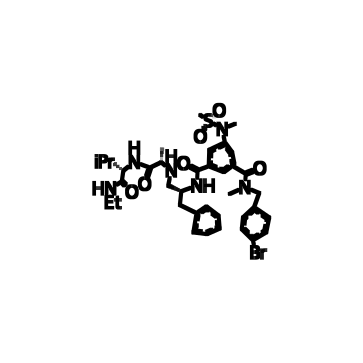 CCNC(=O)[C@@H](NC(=O)[C@H](C)NC[C@H](Cc1ccccc1)NC(=O)c1cc(C(=O)N(C)Cc2ccc(Br)cc2)cc(N(C)S(C)(=O)=O)c1)C(C)C